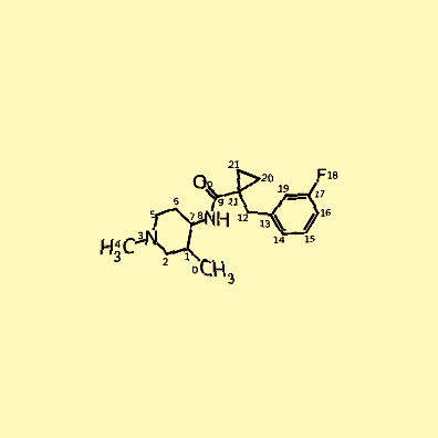 CC1CN(C)CCC1NC(=O)C1(Cc2cccc(F)c2)CC1